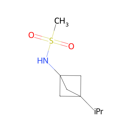 CC(C)C12CC(NS(C)(=O)=O)(C1)C2